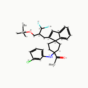 COC(=O)C1(Nc2cccc(Cl)c2)CCC2(CC1)C(CC(CO[Si](C)(C)C(C)(C)C)C(F)F)=Cc1ccccc12